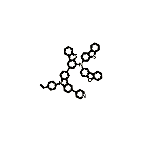 C=Cc1ccc(-n2c3ccc(-c4ccncc4)cc3c3cc(-c4cc(N(c5ccc6c(c5)sc5ccccc56)c5ccc6oc7ccccc7c6c5)c5sc6ccccc6c5c4)ccc32)cc1